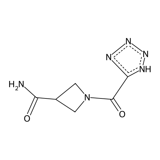 NC(=O)C1CN(C(=O)c2nnn[nH]2)C1